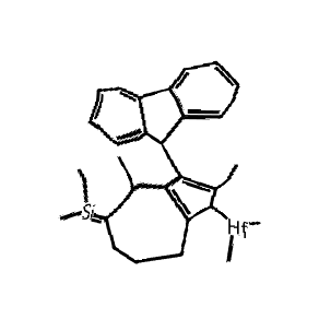 CC1=C(C2c3ccccc3-c3ccccc32)C2=C(CCCC(=[Si](C)C)C2C)[CH]1[Hf]([CH3])[CH3]